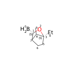 B[C@@H]1O[C@@]2(CC)CCC1C2C